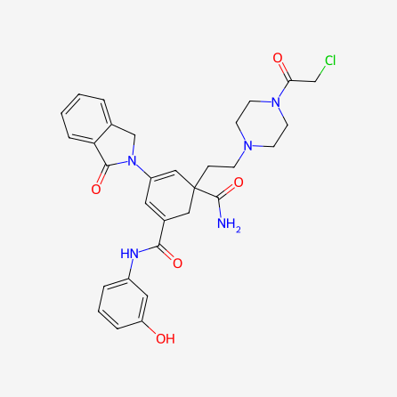 NC(=O)C1(CCN2CCN(C(=O)CCl)CC2)C=C(N2Cc3ccccc3C2=O)C=C(C(=O)Nc2cccc(O)c2)C1